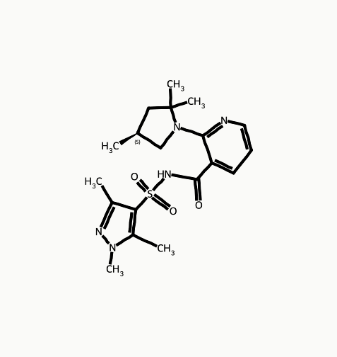 Cc1nn(C)c(C)c1S(=O)(=O)NC(=O)c1cccnc1N1C[C@@H](C)CC1(C)C